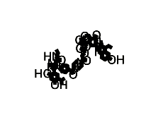 CCNC(=O)c1nnc(-c2cc(C(C)C)c(O)cc2O)n1-c1ccc(C(=O)N2CCN(C(=O)COC(=O)OC3(CC)C(=O)OCC4=C3CC3c5nc6ccc(O)cc6c(CC)c5CN3C4=O)CC2)cc1